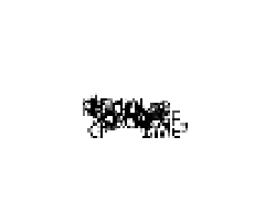 COc1cc2c([AsH]c3ccc(Sc4nccn4C)c(Cl)c3)c(C#N)cnc2cc1OS(=O)(=O)C(F)(F)F